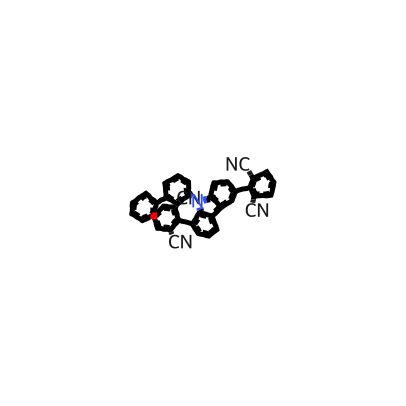 N#Cc1cccc(C#N)c1-c1ccc2c(c1)c1cccc(-c3c(C#N)cccc3C#N)c1n2-c1cccc(-c2ccccc2)c1